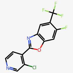 Fc1cc2oc(-c3ccncc3Cl)nc2cc1C(F)(F)F